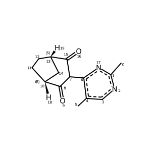 Cc1ncc(C)c(C2C(=O)[C@@H]3CC[C@@H](C3)C2=O)n1